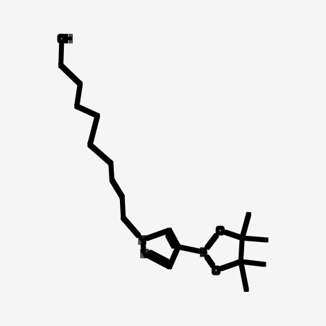 CC1(C)OB(c2cnn(CCCCCCCCCO)c2)OC1(C)C